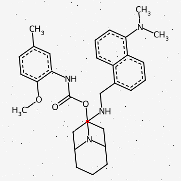 COc1ccc(C)cc1NC(=O)OC1CC2CCCC(C1)N2CNCc1cccc2c(N(C)C)cccc12